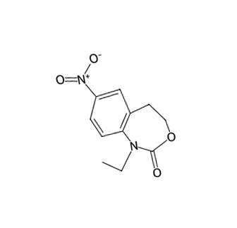 CCN1C(=O)OCCc2cc([N+](=O)[O-])ccc21